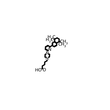 CC1(C)CCC(C)(C)c2cc(-c3cccc(N4CCN(CCCCC(=O)O)CC4)n3)ccc21